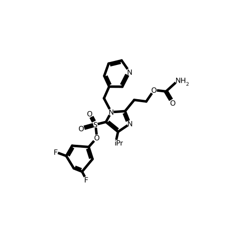 CC(C)c1nc(CCOC(N)=O)n(Cc2cccnc2)c1S(=O)(=O)Oc1cc(F)cc(F)c1